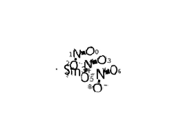 O=N[O-].O=N[O-].O=N[O-].[Sm+3]